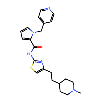 CN1CCC(CCc2csc(NC(=O)c3cccn3Cc3ccncc3)n2)CC1